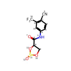 N#Cc1ccc(NC(=O)C2COS(=O)O2)cc1C(F)(F)F